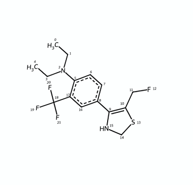 CCN(CC)c1ccc(C2=C(CF)SCN2)cc1C(F)(F)F